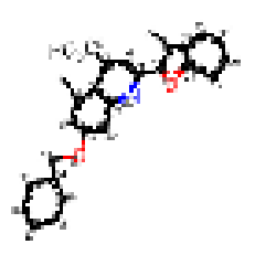 Cc1c(-c2cc(C(=O)O)c3c(C)cc(OCc4ccccc4)cc3n2)oc2ccccc12